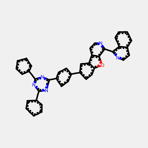 c1ccc(-c2nc(-c3ccccc3)nc(-c3ccc(-c4ccc5oc6c(-c7nccc8ccccc78)nccc6c5c4)cc3)n2)cc1